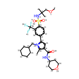 COCC(C)(C)NS(=O)(=O)c1ccc(-c2cc(C(=O)NC3CCOCC3)c(C)n2CC2CCCCC2)cc1C(F)(F)F